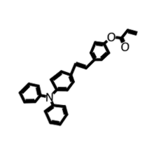 C=CC(=O)Oc1ccc(C=Cc2ccc(N(c3ccccc3)c3ccccc3)cc2)cc1